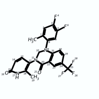 Cc1cc(F)c(F)cc1N1CN(c2ccc(=O)[nH]c2C)C(=O)c2cc(C(F)(F)F)ccc21